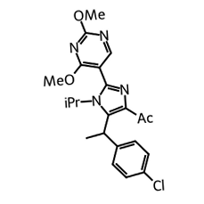 COc1ncc(-c2nc(C(C)=O)c(C(C)c3ccc(Cl)cc3)n2C(C)C)c(OC)n1